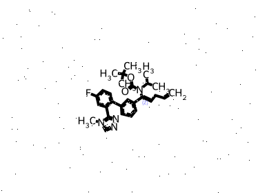 C=CC/C=C(/c1cccc(-c2ccc(F)cc2-c2nncn2C)c1)N(C(=O)OC(C)(C)C)C(C)C